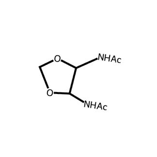 CC(=O)NC1OCOC1NC(C)=O